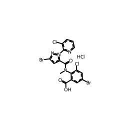 CN(C(=O)c1cc(Br)nn1-c1ncccc1Cl)c1c(Cl)cc(Br)cc1C(=O)O.Cl